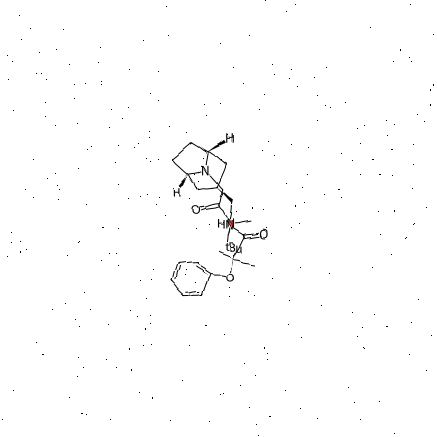 CN(C(=O)CN1[C@@H]2CC[C@H]1C[C@H](CNC(=O)C(C)(C)Oc1ccccc1)C2)C(C)(C)C